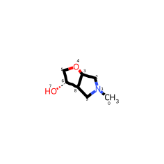 CN1CC2OC[C@@H](O)C2C1